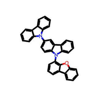 c1ccc2c(c1)oc1c(-n3c4ccccc4c4cc(-n5c6ccccc6c6ccccc65)ccc43)cccc12